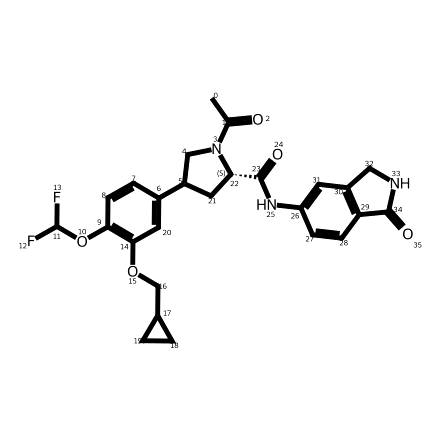 CC(=O)N1CC(c2ccc(OC(F)F)c(OCC3CC3)c2)C[C@H]1C(=O)Nc1ccc2c(c1)CNC2=O